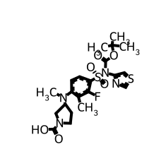 Cc1c(N(C)C2CCN(C(=O)O)C2)ccc(S(=O)(=O)N(C(=O)OC(C)(C)C)c2cscn2)c1F